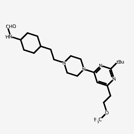 CC(C)(C)c1nc(CCOC(F)(F)F)cc(N2CCN(CCC3CCC(NC=O)CC3)CC2)n1